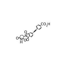 O=C1CCC(N2C(=O)c3ccc(C#Cc4ccc(C(=O)O)cc4)cc3C2=O)C(=O)N1